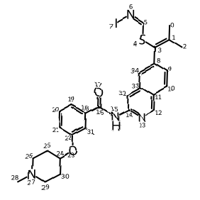 CC(C)=C(S/C=N\I)c1ccc2cnc(NC(=O)c3cccc(OC4CCN(C)CC4)c3)cc2c1